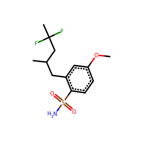 COc1ccc(S(N)(=O)=O)c(CC(C)CC(C)(F)F)c1